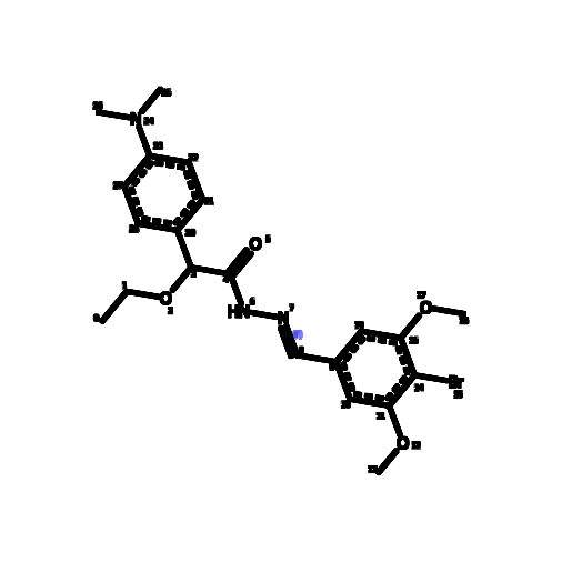 CCOC(C(=O)N/N=C/c1cc(OC)c(Br)c(OC)c1)c1ccc(N(C)C)cc1